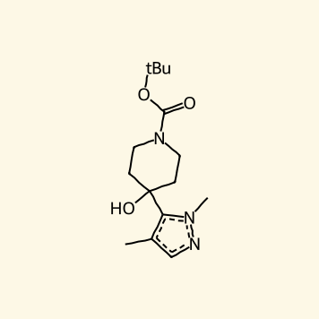 Cc1cnn(C)c1C1(O)CCN(C(=O)OC(C)(C)C)CC1